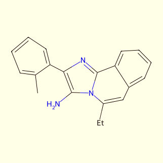 CCc1cc2ccccc2c2nc(-c3ccccc3C)c(N)n12